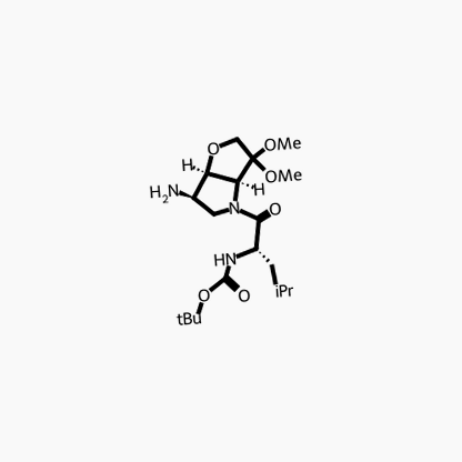 COC1(OC)CO[C@@H]2[C@H](N)CN(C(=O)[C@H](CC(C)C)NC(=O)OC(C)(C)C)[C@@H]21